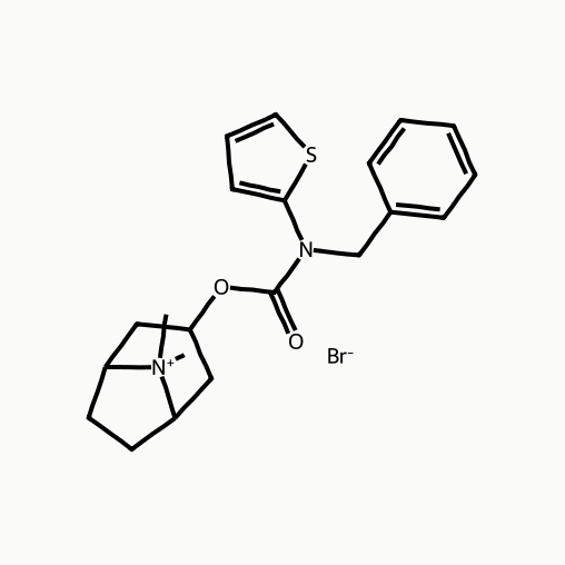 C[N+]1(C)C2CCC1CC(OC(=O)N(Cc1ccccc1)c1cccs1)C2.[Br-]